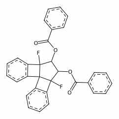 O=C(OC1C(OC(=O)c2ccccc2)C2(F)c3ccccc3C23c2ccccc2C13F)c1ccccc1